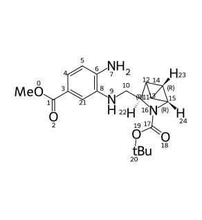 COC(=O)c1ccc(N)c(NC[C@H]2C3C4[C@H]3[C@@H]4N2C(=O)OC(C)(C)C)c1